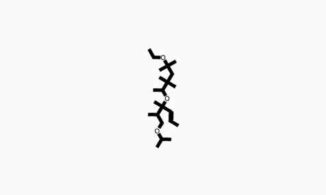 CC=CC(C)(OC(C)C(C)(C)CC(C)(C)OCC)C(C)COC(C)C